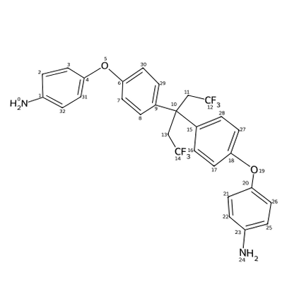 Nc1ccc(Oc2ccc(C(CC(F)(F)F)(CC(F)(F)F)c3ccc(Oc4ccc(N)cc4)cc3)cc2)cc1